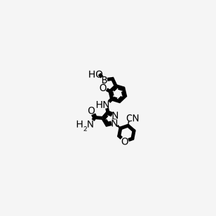 N#C[C@@H]1CCOC[C@H]1n1cc(C(N)=O)c(Nc2cccc3c2OB(O)C3)n1